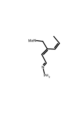 C\C=C/C(=C\C=N\P)CNC